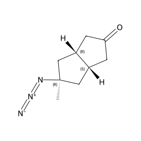 C[C@@]1(N=[N+]=[N-])C[C@H]2CC(=O)C[C@H]2C1